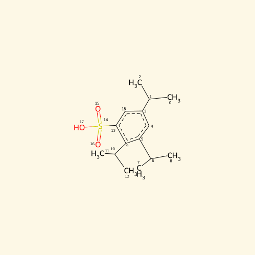 CC(C)c1cc(C(C)C)c(C(C)C)c(S(=O)(=O)O)c1